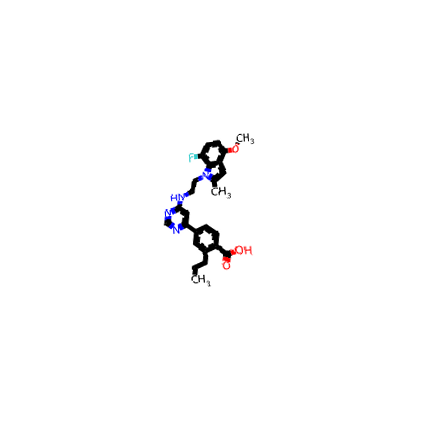 CCCc1cc(-c2cc(NCCn3c(C)cc4c(OC)ccc(F)c43)ncn2)ccc1C(=O)O